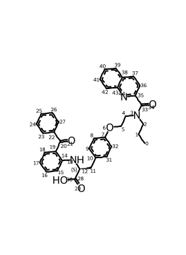 CCCN(CCOc1ccc(C[C@H](Nc2ccccc2C(=O)c2ccccc2)C(=O)O)cc1)C(=O)c1ccc2ccccc2n1